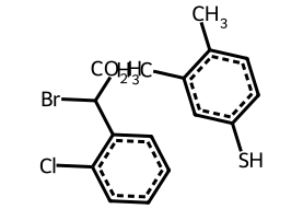 Cc1ccc(S)cc1C.O=C(O)C(Br)c1ccccc1Cl